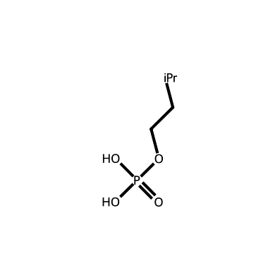 CC(C)CCOP(=O)(O)O